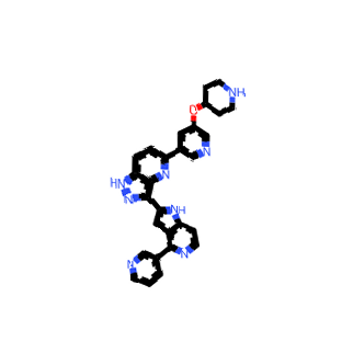 c1cncc(-c2nccc3[nH]c(-c4n[nH]c5ccc(-c6cncc(OC7CCNCC7)c6)nc45)cc23)c1